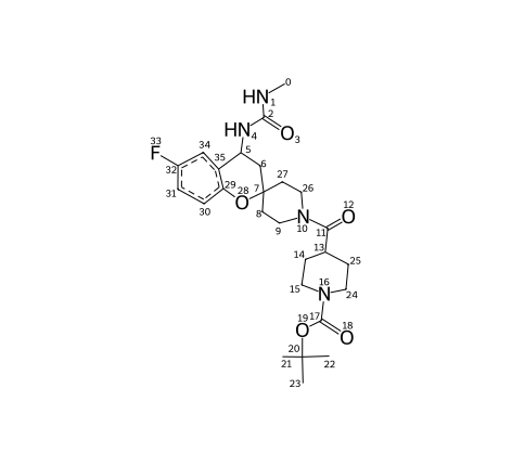 CNC(=O)NC1CC2(CCN(C(=O)C3CCN(C(=O)OC(C)(C)C)CC3)CC2)Oc2ccc(F)cc21